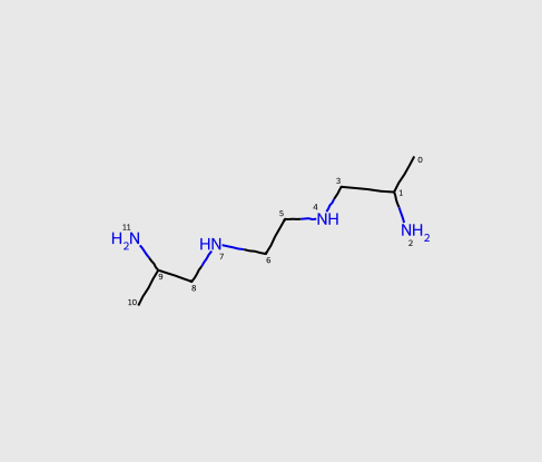 CC(N)CNCCNCC(C)N